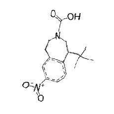 CC(C)(C)C1CN(C(=O)O)CCc2cc([N+](=O)[O-])ccc21